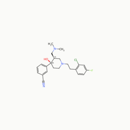 CN(C)C[C@H]1CN(CCc2ccc(F)cc2Cl)CC[C@]1(O)c1cccc(C#N)c1